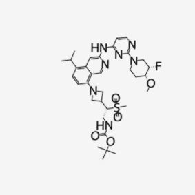 CO[C@@H]1CCN(c2nccc(Nc3cc4c(C(C)C)ccc(N5CC([C@@H](CNC(=O)OC(C)(C)C)S(C)(=O)=O)C5)c4cn3)n2)C[C@@H]1F